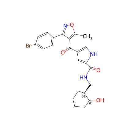 Cc1onc(-c2ccc(Br)cc2)c1C(=O)c1c[nH]c(C(=O)NC[C@@H]2CCCC[C@H]2O)c1